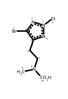 CCn1nc(Br)c(CCN(C)C(=O)O)n1